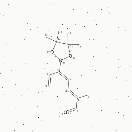 C=C/C(=C\C=C(/C)C=O)B1OC(C)(C)C(C)(C)O1